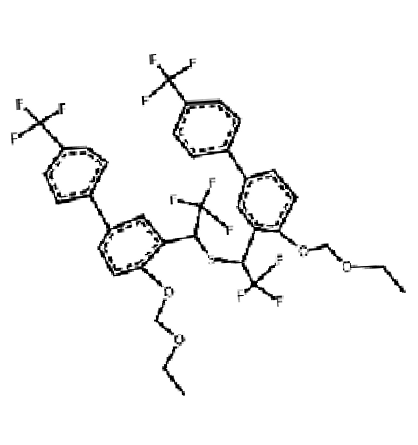 CCOCOc1ccc(-c2ccc(C(F)(F)F)cc2)cc1C(SC(c1cc(-c2ccc(C(F)(F)F)cc2)ccc1OCOCC)C(F)(F)F)C(F)(F)F